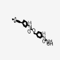 C[Si](C)(C)C#Cc1ccc(NC(=O)OCc2ccc(NC(=O)NO)cc2)cc1